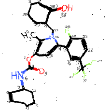 Cc1c(OC(=O)NC2CCCCC2)cc(-c2cc(C(F)(F)F)ccc2F)n1CC1CCCCC1O